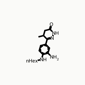 CCCCCCNc1ccc(C2=NNC(=O)CC2C)cc1N